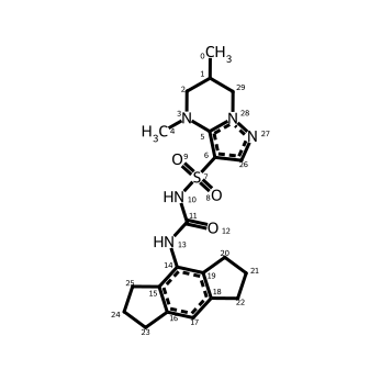 CC1CN(C)c2c(S(=O)(=O)NC(=O)Nc3c4c(cc5c3CCC5)CCC4)cnn2C1